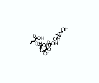 CC(=O)C(=O)[O-].CC(=O)O.CC(=O)O.CCC(O)C(=O)O.CO.C[N+](C)(C)CCO